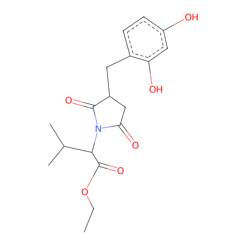 CCOC(=O)C(C(C)C)N1C(=O)CC(Cc2ccc(O)cc2O)C1=O